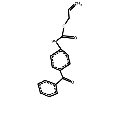 C=CCOC(=O)Nc1ccc(C(=O)c2ccccc2)cc1